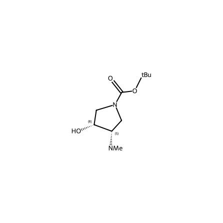 CN[C@H]1CN(C(=O)OC(C)(C)C)C[C@H]1O